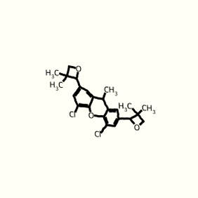 CC1c2cc(C3OCC3(C)C)cc(Cl)c2Oc2c(Cl)cc(C3OCC3(C)C)cc21